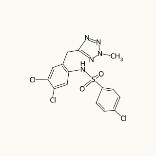 Cn1nnc(Cc2cc(Cl)c(Cl)cc2NS(=O)(=O)c2ccc(Cl)cc2)n1